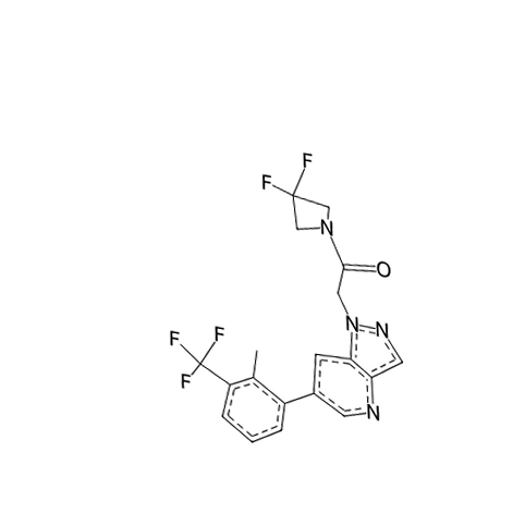 Cc1c(-c2cnc3cnn(CC(=O)N4CC(F)(F)C4)c3c2)cccc1C(F)(F)F